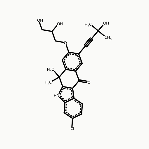 CC(C)(O)C#Cc1cc2c(cc1OCC(O)CO)C(C)(C)c1[nH]c3cc(Cl)ccc3c1C2=O